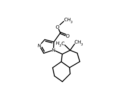 COC(=O)c1cncn1C1C2CCCCC2CCC1(C)C